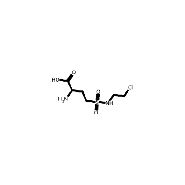 NC(CCS(=O)(=O)NCCCl)C(=O)O